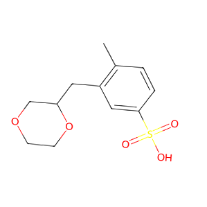 Cc1ccc(S(=O)(=O)O)cc1CC1COCCO1